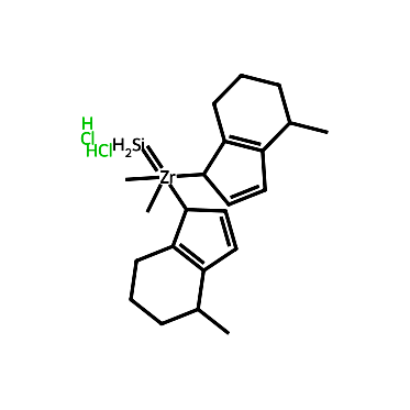 CC1CCCC2=C1C=C[CH]2[Zr]([CH3])([CH3])(=[SiH2])[CH]1C=CC2=C1CCCC2C.Cl.Cl